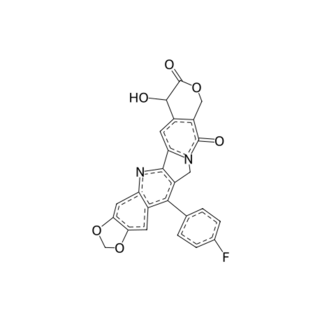 O=C1OCc2c(cc3n(c2=O)Cc2c-3nc3cc4c(cc3c2-c2ccc(F)cc2)OCO4)C1O